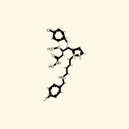 CO[C@H](CC(=O)NO)[C@H](Cc1ccc(Cl)cc1)c1ccnn1CCCCNCc1ccc(F)cc1